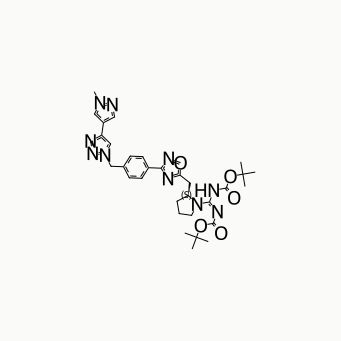 Cn1cc(-c2cn(Cc3ccc(-c4noc(C[C@@H]5CCCN5C(=NC(=O)OC(C)(C)C)NC(=O)OC(C)(C)C)n4)cc3)nn2)cn1